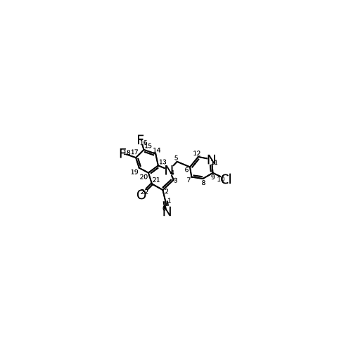 N#Cc1cn(Cc2ccc(Cl)nc2)c2cc(F)c(F)cc2c1=O